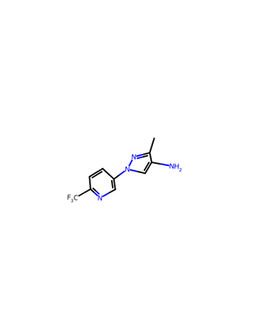 Cc1nn(-c2ccc(C(F)(F)F)nc2)cc1N